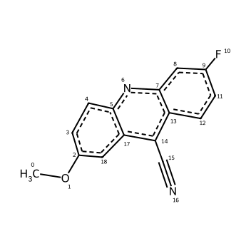 COc1ccc2nc3cc(F)ccc3c(C#N)c2c1